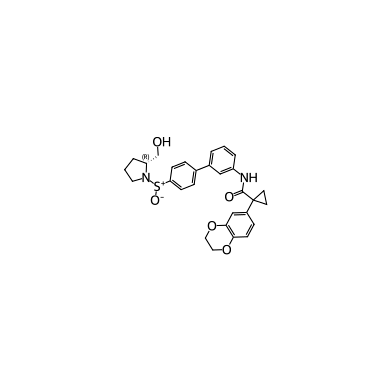 O=C(Nc1cccc(-c2ccc([S+]([O-])N3CCC[C@@H]3CO)cc2)c1)C1(c2ccc3c(c2)OCCO3)CC1